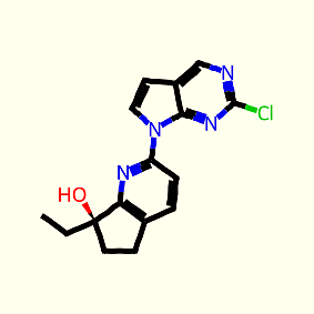 CC[C@@]1(O)CCc2ccc(-n3ccc4cnc(Cl)nc43)nc21